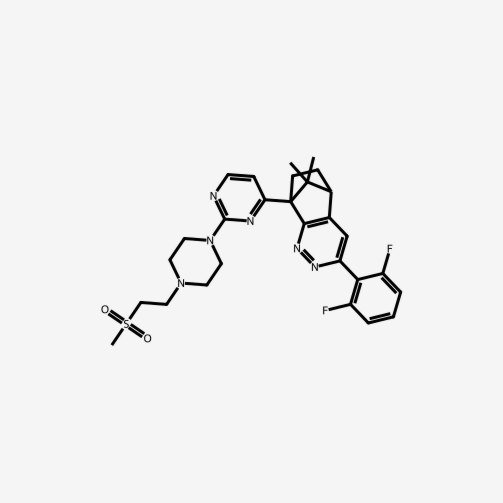 CC1(C)C2CCC1(c1ccnc(N3CCN(CCS(C)(=O)=O)CC3)n1)c1nnc(-c3c(F)cccc3F)cc12